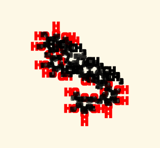 C[C@H](CC[C@@H](O[C@@H]1O[C@H](CO)[C@@H](O)[C@H](O)[C@H]1O[C@H]1O[C@@H](CO)[C@H](O)[C@@H](O)[C@@H]1O)C(C)(C)O)C1CC[C@@]2(C)C3CC=C4C(CC[C@H](O[C@@H]5O[C@H](CO[C@@H]6O[C@H](CO)[C@@H](O)[C@H](O)[C@H]6O)[C@@H](O)[C@H](O)[C@H]5O)C4(C)C)[C@]3(C)[C@H](O)C[C@]12C